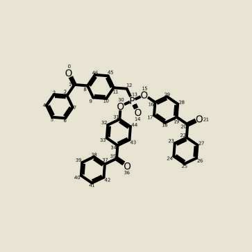 O=C(c1ccccc1)c1ccc(CP(=O)(Oc2ccc(C(=O)c3ccccc3)cc2)Oc2ccc(C(=O)c3ccccc3)cc2)cc1